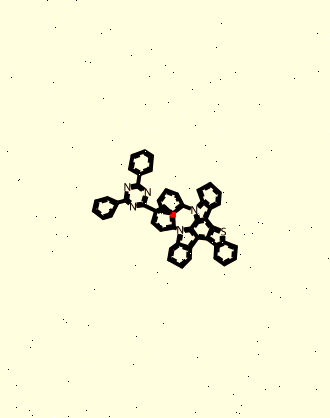 c1ccc(-c2nc(-c3ccccc3)nc(-c3ccc(-n4c5ccccc5c5c6c7ccccc7sc6c6c7ccccc7n(-c7ccccc7)c6c54)cc3)n2)cc1